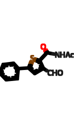 CC(=O)NC(=O)c1sc(-c2ccccc2)cc1C=O